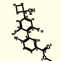 COC(=O)c1ccc(F)c(-c2c(F)cc(C3(O)CCC3)cc2F)n1